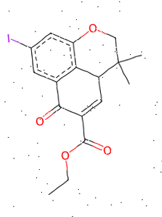 CCOC(=O)C1=CC2c3c(cc(I)cc3C1=O)OCC2(C)C